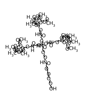 CC(=O)N[C@H]1[C@H](OCCOCCNC(=O)CCOCC(COCCC(=O)NCCOCCO[C@@H]2O[C@H](COC(C)=O)[C@H](OC(C)=O)[C@H](OC(C)=O)[C@H]2NC(C)=O)(COCCC(=O)NCCOCCO[C@@H]2O[C@H](COC(C)=O)[C@H](OC(C)=O)[C@H](OC(C)=O)[C@H]2NC(C)=O)NC(=O)CCOCCOCCNC(=O)CCOCCOCCOCCOCCO)O[C@H](COC(C)=O)[C@H](OC(C)=O)[C@@H]1OC(C)=O